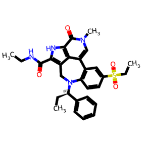 CCNC(=O)c1[nH]c2c(=O)n(C)cc3c2c1CN([C@H](CC)c1ccccc1)c1ccc(S(=O)(=O)CC)cc1-3